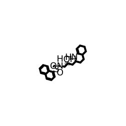 O=S(=O)(NC[C@H](O)CC1CCC2CCCC=C2N1)c1cccc2ccccc12